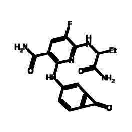 CCC(Nc1nc(Nc2ccc3c(=O)c3c2)c(C(N)=O)cc1F)C(N)=O